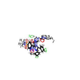 CCOc1cc(S(=O)(=O)N(C)C)ccc1C1(C(=O)N2CCN(CC(=O)N(C)C)CC2)NC(c2ccc(Cl)cc2)C(c2ccc(Cl)cc2)N1.Cl